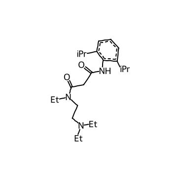 CCN(CC)CCN(CC)C(=O)CC(=O)Nc1c(C(C)C)cccc1C(C)C